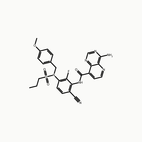 CCCS(=O)(=O)N(Cc1ccc(OC)cc1)c1ccc(C#N)c(NC(=O)c2ccnc3c(N)ncnc23)c1F